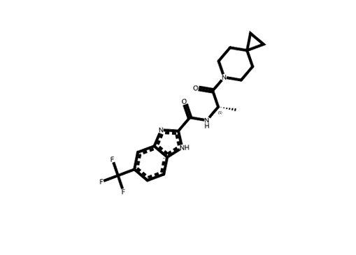 C[C@H](NC(=O)c1nc2cc(C(F)(F)F)ccc2[nH]1)C(=O)N1CCC2(CC1)CC2